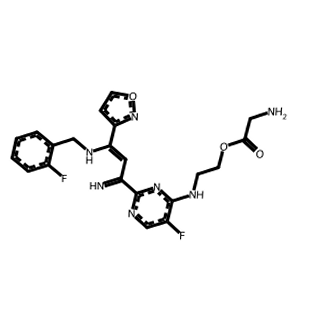 N=C(/C=C(\NCc1ccccc1F)c1ccon1)c1ncc(F)c(NCCOC(=O)CN)n1